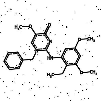 CCc1c(Nc2nc(=O)c(OC)cn2Cc2ccccc2)cc(OC)cc1OC